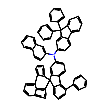 c1ccc(-c2cccc3c2-c2ccc(N(c4ccc5c(c4)C(c4ccccc4)(c4ccccc4)c4ccccc4-5)c4ccc5ccccc5c4)cc2C32c3ccccc3-c3cccc4cccc2c34)cc1